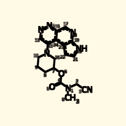 CN(CC#N)C(=O)OC1CCCN(c2cnnc3cnc4[nH]ccc4c23)C1